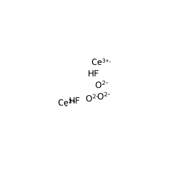 F.F.[Ce+3].[Ce+3].[O-2].[O-2].[O-2]